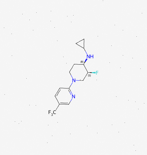 F[C@H]1CN(c2ccc(C(F)(F)F)cn2)CC[C@H]1NC1CC1